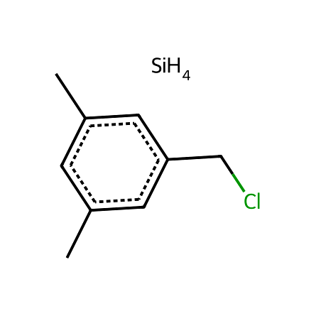 Cc1cc(C)cc(CCl)c1.[SiH4]